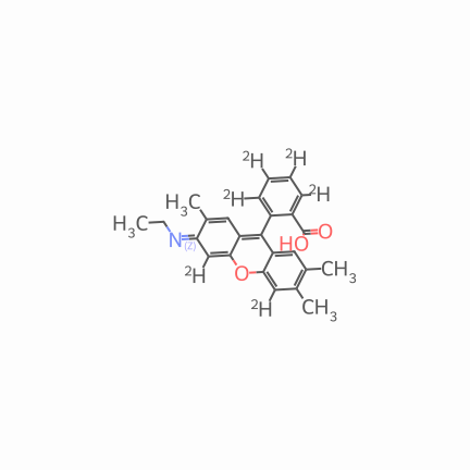 [2H]c1c([2H])c([2H])c(-c2c3cc(C)/c(=N\CC)c([2H])c-3oc3c([2H])c(C)c(C)cc23)c(C(=O)O)c1[2H]